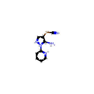 N#CSc1cnn(-c2ccccn2)c1N